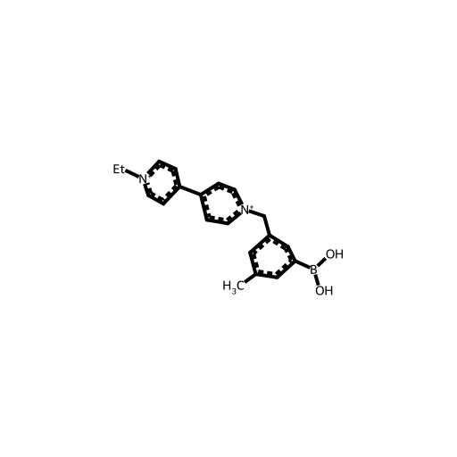 CC[n+]1ccc(-c2cc[n+](Cc3cc(C)cc(B(O)O)c3)cc2)cc1